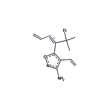 C=C/C=C(\c1onc(N)c1C=C)C(C)(C)CC